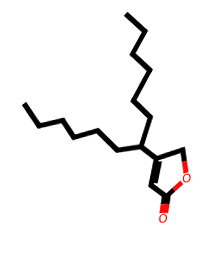 CCCCCCC(CCCCCC)C1=CC(=O)OC1